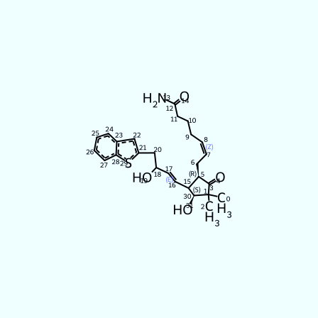 CC1(C)C(=O)[C@H](C/C=C\CCCC(N)=O)C(/C=C/C(O)Cc2cc3ccccc3s2)[C@@H]1O